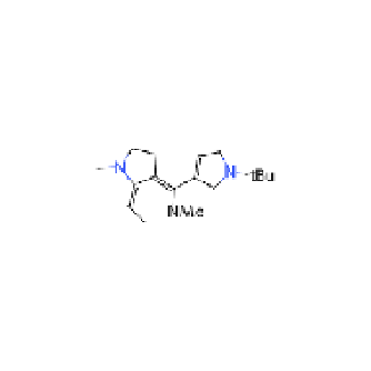 C/C=C1\C(=C(/NC)C2=CCN(C(C)(C)C)C2)CCN1C